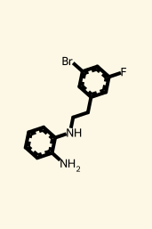 Nc1ccccc1NCCc1cc(F)cc(Br)c1